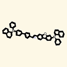 C(=C\c1ccc2c(c1)oc1cc(N(c3ccccc3)c3cccc4ccccc34)ccc12)/c1ccc(-c2ccc(N(c3ccccc3)c3cccc4ccccc34)cc2)cc1